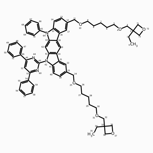 CCC1(COCCCCCOCc2ccc3c(c2)c2cc4c5cc(COCCCCCOCC6(CC)COC6)ccc5n(-c5nc(-c6ccccc6)cc(-c6ccccc6)n5)c4cc2n3-c2ccccc2)COC1